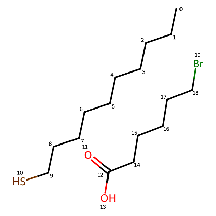 CCCCCCCCCCS.O=C(O)CCCCCBr